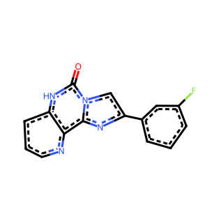 O=c1[nH]c2cccnc2c2nc(-c3cccc(F)c3)cn12